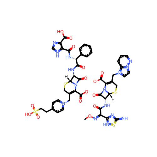 CO/N=C(\C(=O)N[C@@H]1C(=O)N2C(C(=O)[O-])=C(C[n+]3ccn4ncccc43)CS[C@H]12)c1nc(=N)s[nH]1.O=C([O-])C1=C(C[n+]2ccc(CCS(=O)(=O)O)cc2)CS[C@@H]2[C@H](NC(=O)[C@H](NC(=O)c3[nH]cnc3C(=O)O)c3ccccc3)C(=O)N12